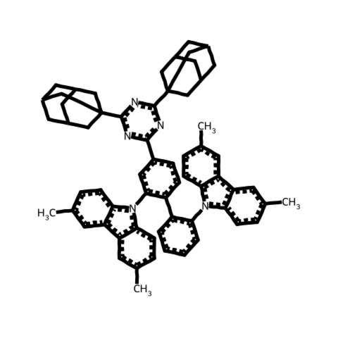 Cc1ccc2c(c1)c1cc(C)ccc1n2-c1ccccc1-c1ccc(-c2nc(C34CC5CC(CC(C5)C3)C4)nc(C34CC5CC(CC(C5)C3)C4)n2)cc1-n1c2ccc(C)cc2c2cc(C)ccc21